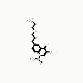 CN(C)n1cc(C(=O)O)c(=O)c2cc(CCCOCCC(=O)O)ccc21